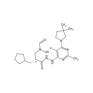 Cc1nc(NNC(=O)[C@H](CC2CCCC2)CN(O)C=O)c(F)c(N2CCC(C)(C)C2)n1